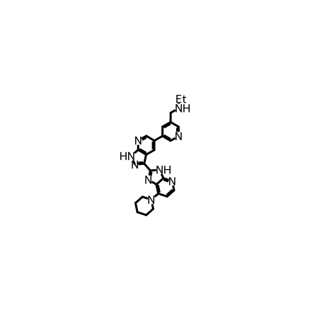 CCNCc1cncc(-c2cnc3[nH]nc(-c4nc5c(N6CCCCC6)ccnc5[nH]4)c3c2)c1